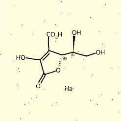 O=C(O)C1=C(O)C(=O)O[C@H]1[C@@H](O)CO.[Na]